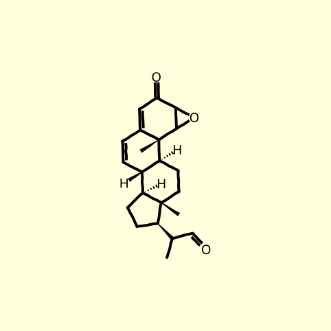 CC(C=O)[C@H]1CC[C@H]2[C@@H]3C=CC4=CC(=O)C5OC5[C@]4(C)[C@H]3CC[C@]12C